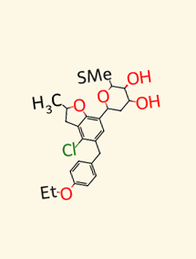 CCOc1ccc(Cc2cc(C3CC(O)[C@H](O)C(SC)O3)c3c(c2Cl)CC(C)O3)cc1